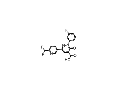 O=C(O)c1cc(-c2ccc(C(F)F)nc2)nn(-c2cccc(F)c2)c1=O